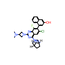 CN(C)C1CN(c2nc(N3C[C@H]4CC[C@@H](C3)[C@H]4N)c3cc(Cl)c(-c4cc(O)cc5ccccc45)c(F)c3n2)C1